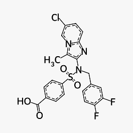 Cc1c(N(Cc2ccc(F)c(F)c2)S(=O)(=O)c2ccc(C(=O)O)cc2)nc2ccc(Cl)cn12